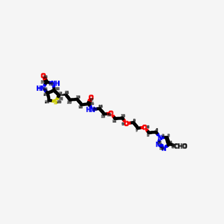 O=Cc1cn(CCOCCOCCOCCNC(=O)CCCC[C@@H]2SCC3NC(=O)NC32)nn1